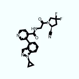 N#C[C@@H]1CC(F)(F)CN1C(=O)CNC(=O)c1ccncc1-c1cccc2c1cnn2C1CC1